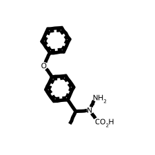 CC(c1ccc(Oc2ccccc2)cc1)N(N)C(=O)O